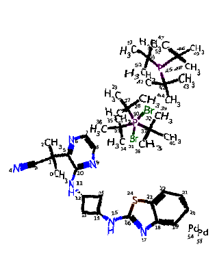 CC(C)(C#N)c1nccnc1N[C@H]1C[C@H](Nc2nc3ccccc3s2)C1.CC(C)(C)P(Br)(Br)(C(C)(C)C)C(C)(C)C.CC(C)(C)P(C(C)(C)C)C(C)(C)C.[Pd].[Pd]